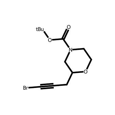 CC(C)(C)OC(=O)N1CCOC(CC#CBr)C1